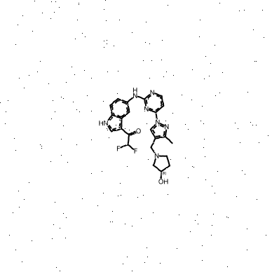 Cc1nn(-c2ccnc(Nc3ccc4[nH]cc(C(=O)C(F)F)c4c3)n2)cc1CN1CC[C@@H](O)C1